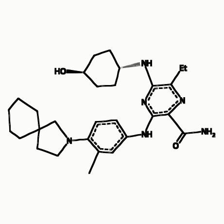 CCc1nc(C(N)=O)c(Nc2ccc(N3CCC4(CCCCC4)C3)c(C)c2)nc1N[C@H]1CC[C@H](O)CC1